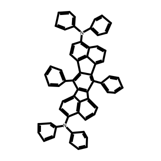 c1ccc(-c2c3c4cccc5c(N(c6ccccc6)c6ccccc6)ccc(c3c(-c3ccccc3)c3c6ccc(N(c7ccccc7)c7ccccc7)c7cccc(c23)c76)c54)cc1